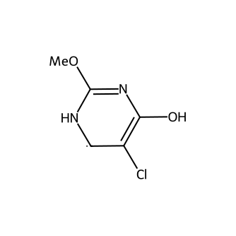 COC1=NC(O)=C(Cl)[CH]N1